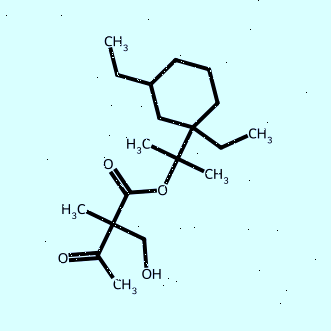 CCC1CCCC(CC)(C(C)(C)OC(=O)C(C)(CO)C(C)=O)C1